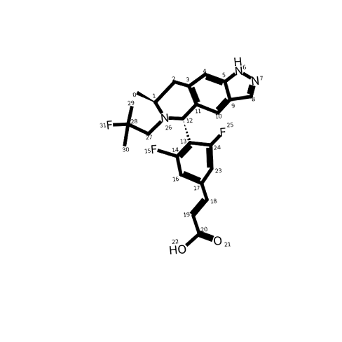 C[C@H]1Cc2cc3[nH]ncc3cc2[C@H](c2c(F)cc(/C=C/C(=O)O)cc2F)N1CC(C)(C)F